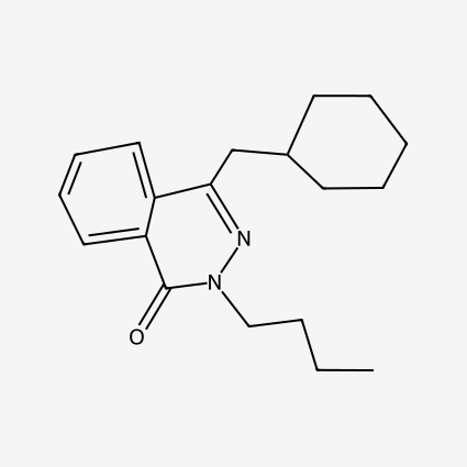 CCCCn1nc(CC2CCCCC2)c2ccccc2c1=O